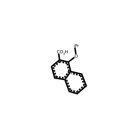 CC(C)Oc1c(C(=O)O)ccc2ccccc12